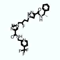 C[C@H](NC(=O)c1cn(CCC(F)Cn2cc(C(=O)NCc3cc(C(F)(F)F)ccn3)nn2)nn1)c1ccccc1